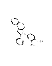 O=C(O)c1cc(-n2c(-c3ccccc3)cc3c2CCc2cnccc2-3)ccc1O